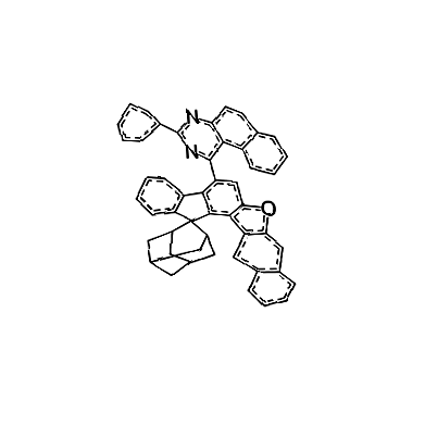 c1ccc(-c2nc(-c3cc4oc5cc6ccccc6cc5c4c4c3-c3ccccc3C43C4CC5CC(C4)CC3C5)c3c(ccc4ccccc43)n2)cc1